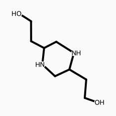 OCCC1CNC(CCO)CN1